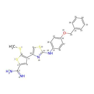 CSc1sc(C(=N)N)cc1-c1csc(Nc2ccc(OCc3ccccc3)cc2)n1